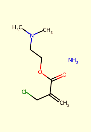 C=C(CCl)C(=O)OCCN(C)C.N